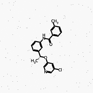 Cc1cccc(C(=O)Nc2cccc([C@@H](C)Oc3cncc(Cl)c3)c2)c1